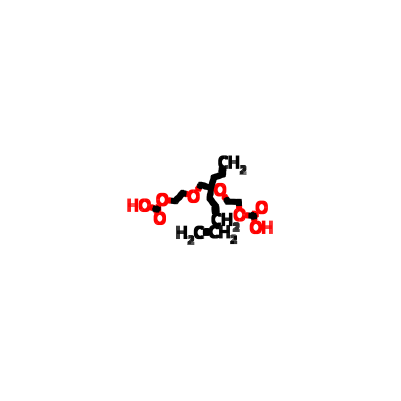 C=C.C=CCC(CC=C)(COCCOC(=O)O)OCCOC(=O)O